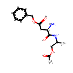 CC(C)(C)C(COC(=O)C(F)(F)F)NC(=O)[C@H](N)CC(=O)OCc1ccccc1